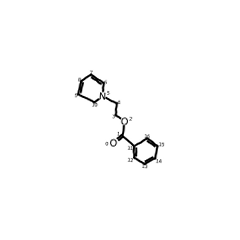 O=C(OCCN1C=CC=CC1)c1ccccc1